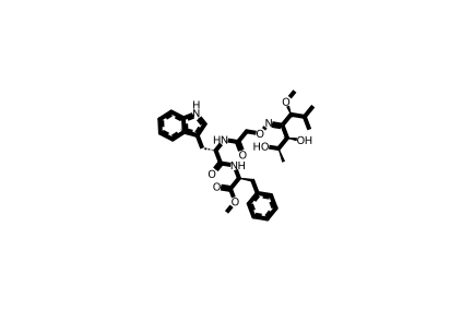 COC(=O)[C@H](Cc1ccccc1)NC(=O)[C@H](Cc1c[nH]c2ccccc12)NC(=O)CO/N=C(/[C@@H](OC)C(C)C)[C@@H](O)[C@@H](C)O